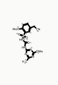 COc1nc(C)nc(NC(=O)NS(=O)(=O)c2cc(CC#N)ccc2OC)n1